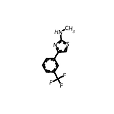 CNc1nc(-c2cccc(C(F)(F)F)c2)cs1